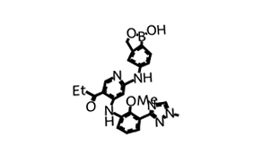 CCC(=O)c1cnc(Nc2ccc3c(c2)COB3O)cc1Nc1cccc(-c2ncn(C)n2)c1OC